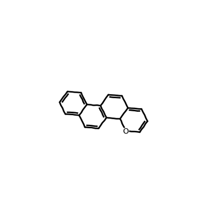 C1=COC2C(=C1)C=Cc1c2ccc2ccccc12